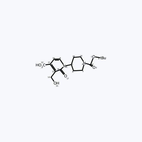 CC(C)(C)OC(=O)N1CCC(n2ccc(C(=O)O)c(CO)c2=O)CC1